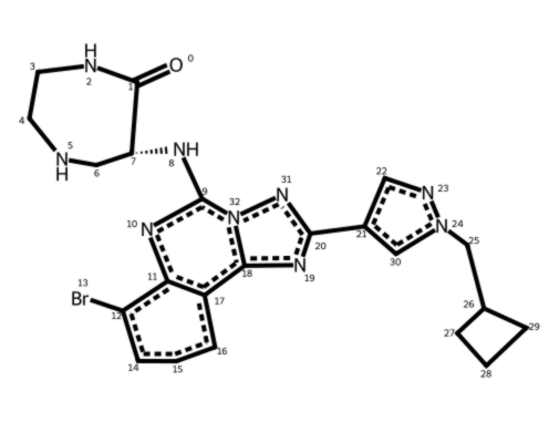 O=C1NCCNC[C@H]1Nc1nc2c(Br)cccc2c2nc(-c3cnn(CC4CCC4)c3)nn12